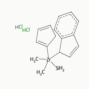 Cl.Cl.[CH3][Zr]([CH3])([SiH3])([C]1=CC=CC1)[CH]1C=Cc2ccccc21